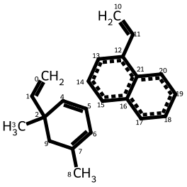 C=CC1(C)C=CC=C(C)C1.C=Cc1cccc2ccccc12